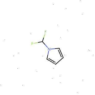 FC(F)n1cccc1